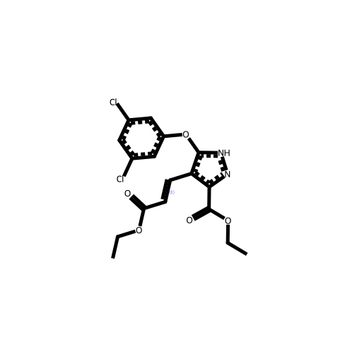 CCOC(=O)/C=C/c1c(C(=O)OCC)n[nH]c1Oc1cc(Cl)cc(Cl)c1